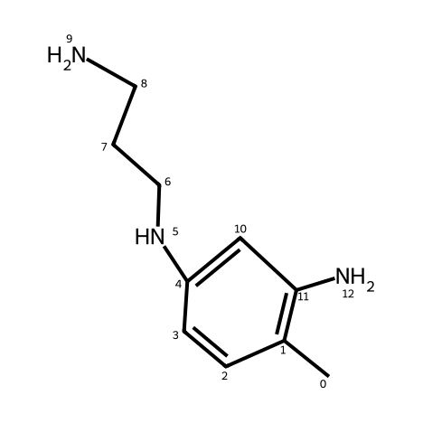 Cc1ccc(NCCCN)cc1N